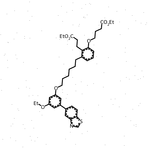 CCOC(=O)CCCOc1cccc(CCCCCCOc2cc(OCC)cc(-c3ccc4scnc4c3)c2)c1CCC(=O)OCC